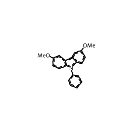 COc1ccc2c(c1)c1cc(OC)ccc1n2-c1cc[c]cc1